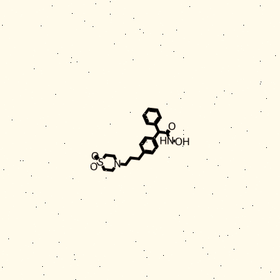 O=C(NO)C(c1ccccc1)c1ccc(CCCN2CCS(=O)(=O)CC2)cc1